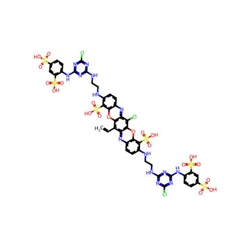 C=Cc1c2c(c(Cl)c3c1=Nc1ccc(NCCNc4nc(Cl)nc(Nc5ccc(S(=O)(=O)O)cc5S(=O)(=O)O)n4)c(S(=O)(=O)O)c1O3)=Nc1ccc(NCCNc3nc(Cl)nc(Nc4ccc(S(=O)(=O)O)cc4S(=O)(=O)O)n3)c(S(=O)(=O)O)c1O2